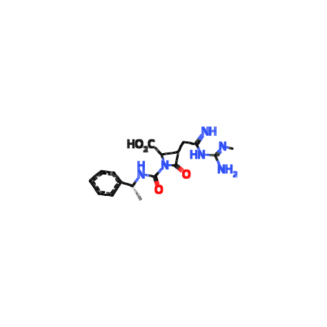 CN=C(N)NC(=N)CC1C(=O)N(C(=O)N[C@H](C)c2ccccc2)C1C(=O)O